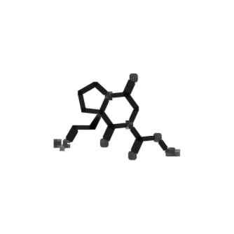 C=CC[C@@]12CCCN1C(=O)CN(C(=O)OC(C)(C)C)C2=O